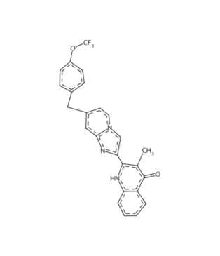 Cc1c(-c2cn3ccc(Cc4ccc(OC(F)(F)F)cc4)cc3n2)[nH]c2ccccc2c1=O